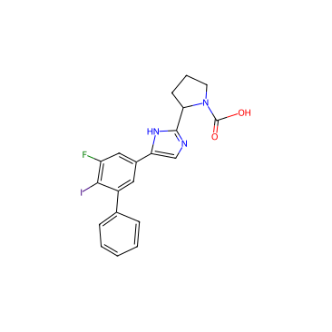 O=C(O)N1CCCC1c1ncc(-c2cc(F)c(I)c(-c3ccccc3)c2)[nH]1